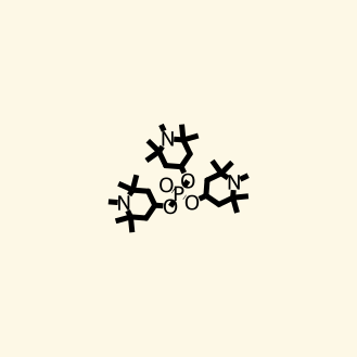 CN1C(C)(C)CC(OP(=O)(OC2CC(C)(C)N(C)C(C)(C)C2)OC2CC(C)(C)N(C)C(C)(C)C2)CC1(C)C